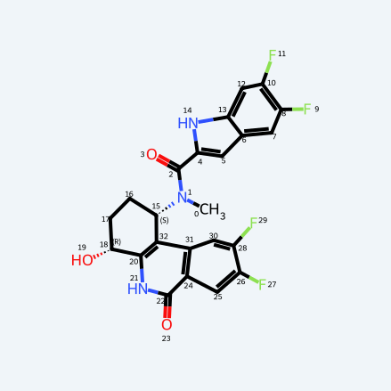 CN(C(=O)c1cc2cc(F)c(F)cc2[nH]1)[C@H]1CC[C@@H](O)c2[nH]c(=O)c3cc(F)c(F)cc3c21